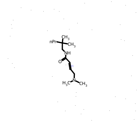 CCCC(C)(C)CNC(=O)/C=C/CN(C)C